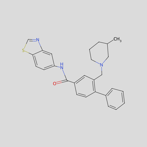 CC1CCCN(Cc2cc(C(=O)Nc3ccc4scnc4c3)ccc2-c2ccccc2)C1